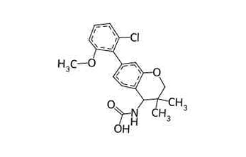 COc1cccc(Cl)c1-c1ccc2c(c1)OCC(C)(C)C2NC(=O)O